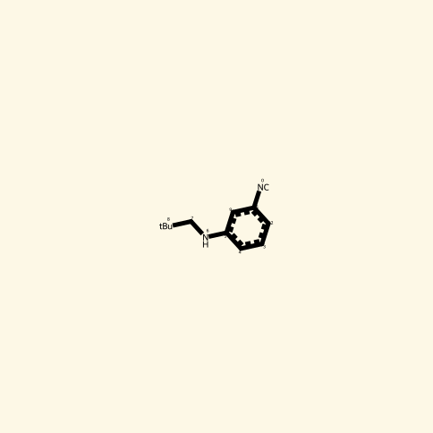 [C-]#[N+]c1cccc(NCC(C)(C)C)c1